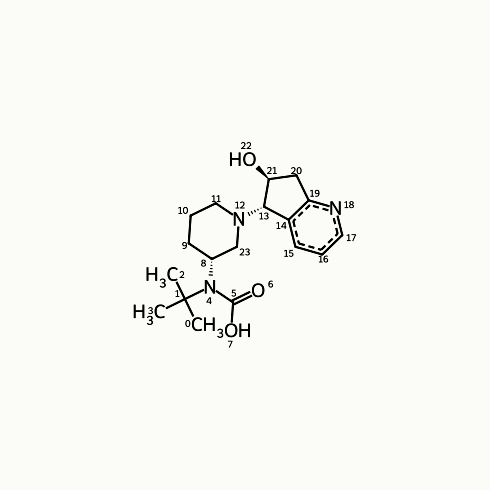 CC(C)(C)N(C(=O)O)[C@@H]1CCCN([C@H]2c3cccnc3C[C@@H]2O)C1